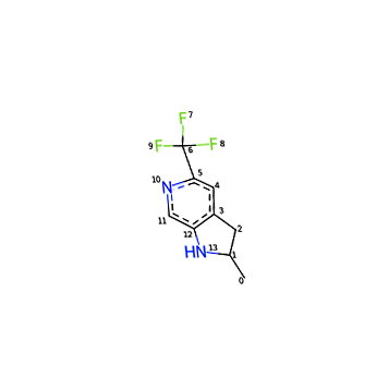 CC1Cc2cc(C(F)(F)F)ncc2N1